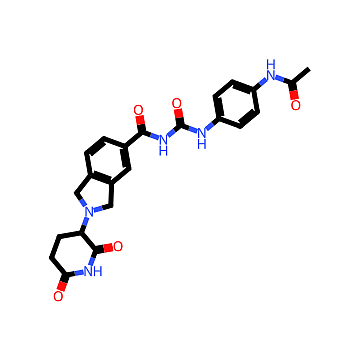 CC(=O)Nc1ccc(NC(=O)NC(=O)c2ccc3c(c2)CN(C2CCC(=O)NC2=O)C3)cc1